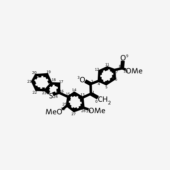 C=C(C(=O)c1ccc(C(=O)OC)cc1)c1cc(-c2cc3ccccc3s2)c(OC)cc1OC